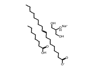 CCCCCCCC(=O)O.CCCCCCCCC=CCCCCCCCC(=O)[O-].OCC(O)CO.[Na+]